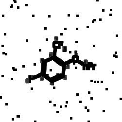 CCCOc1ccc(F)cc1C(F)(F)F